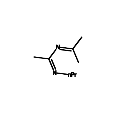 CCC/N=C(/C)N=C(C)C